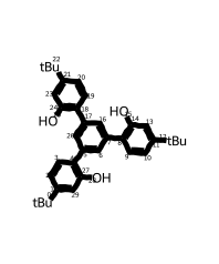 CC(C)(C)c1ccc(-c2cc(-c3ccc(C(C)(C)C)cc3O)cc(-c3ccc(C(C)(C)C)cc3O)c2)c(O)c1